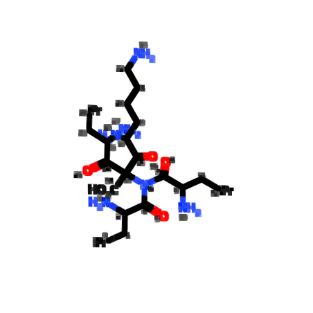 CC(C)CC(N)C(=O)N(C(=O)C(N)CC(C)C)C(C(=O)O)(C(=O)C(N)CCCCN)C(=O)C(N)CC(C)C